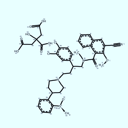 COc1c(C#N)cc2ccccc2c1C(=O)N(C)CC(CCN1CCC(c2ccccc2[S@+](C)[O-])CC1)c1ccc(Cl)c(Cl)c1.O=C(O)CC(O)(CC(=O)O)C(=O)O